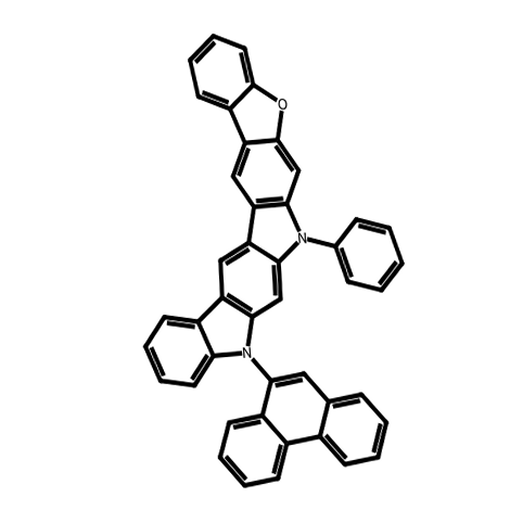 c1ccc(-n2c3cc4oc5ccccc5c4cc3c3cc4c5ccccc5n(-c5cc6ccccc6c6ccccc56)c4cc32)cc1